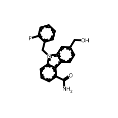 NC(=O)c1cccc2c1c1[c]cc(CO)cc1n2Cc1ccccc1F